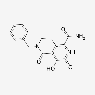 NC(=O)c1[nH]c(=O)c(O)c2c1CCN(Cc1ccccc1)C2=O